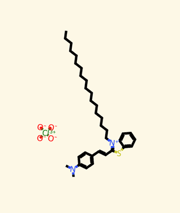 CCCCCCCCCCCCCCCCCC[n+]1c(C=Cc2ccc(N(C)C)cc2)sc2ccccc21.[O-][Cl+3]([O-])([O-])[O-]